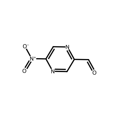 O=Cc1cnc([N+](=O)[O-])cn1